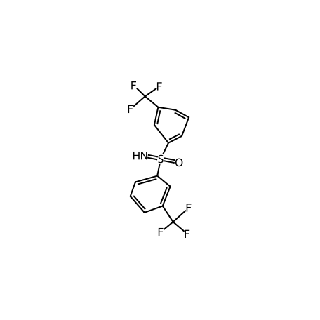 N=S(=O)(c1cccc(C(F)(F)F)c1)c1cccc(C(F)(F)F)c1